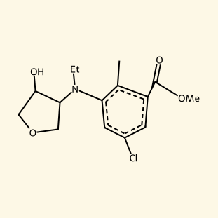 CCN(c1cc(Cl)cc(C(=O)OC)c1C)C1COCC1O